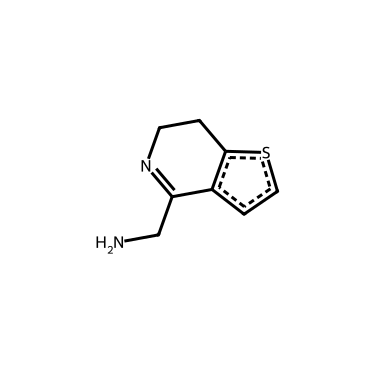 NCC1=NCCc2sccc21